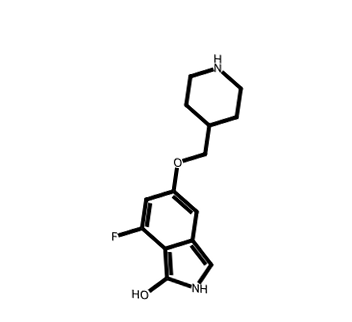 Oc1[nH]cc2cc(OCC3CCNCC3)cc(F)c12